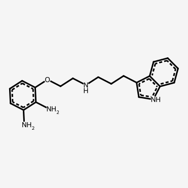 Nc1cccc(OCCNCCCc2c[nH]c3ccccc23)c1N